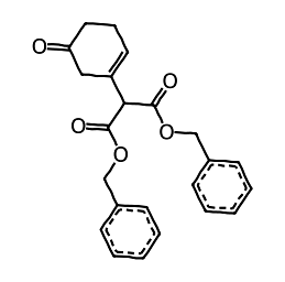 O=C1CCC=C(C(C(=O)OCc2ccccc2)C(=O)OCc2ccccc2)C1